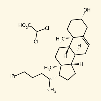 CC(C)CCCC(C)[C@H]1CC[C@H]2[C@@H]3CC=C4C[C@@H](O)CC[C@]4(C)[C@H]3CC[C@]12C.O=C(O)C(Cl)Cl